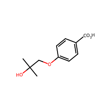 CC(C)(O)COc1ccc(C(=O)O)cc1